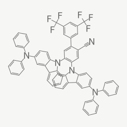 N#Cc1cc(-n2c3ccccc3c3cc(N(c4ccccc4)c4ccccc4)ccc32)c(-n2c3ccccc3c3cc(N(c4ccccc4)c4ccccc4)ccc32)cc1-c1cc(C(F)(F)F)cc(C(F)(F)F)c1